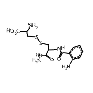 NNC(=O)C(CSSCC(N)C(=O)O)NC(=O)c1ccccc1N